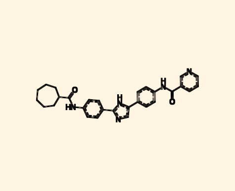 O=C(Nc1ccc(-c2cnc(-c3ccc(NC(=O)C4CCCCCC4)cc3)[nH]2)cc1)c1cccnc1